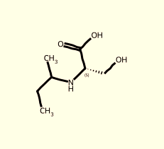 CCC(C)N[C@@H](CO)C(=O)O